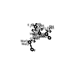 C=Cc1ccc(C(=O)N2CC[C@@H]2C(=O)NO)cc1OC(F)(F)F.CCCc1cc(C(=O)N2C[C@H](CC)[C@H]2C(=O)NO)cc(OC)c1OC.COc1cc(C(=O)N2CC[C@@H]2C(=O)NO)cc(-c2ccccc2)c1OC.COc1cc(C(=O)N2CC[C@@H]2C(=O)NO)cc(C#Cc2cccc(F)c2)c1OC